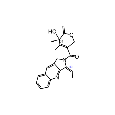 C=C1OCC(C(=O)N2Cc3cc4ccccc4nc3/C2=C\C)=C(C)[C@]1(C)O